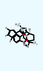 Cn1nc2c(c1-c1cc(F)c(F)c(F)c1)C[C@@H]1CCC[C@H]2N1C(=O)c1ccccc1-n1cc(C(F)(F)F)nn1